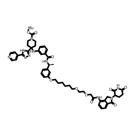 C[C@H](NC(=O)c1cccc(NC2(c3nnc(-c4ccncc4)[nH]3)CCN(C(=O)OC(C)(C)C)CC2)c1)c1cccc(OCCCCCCOCCOCC(=O)Nc2cccc3c2CN(C2CCC(=O)NC2=O)C3=O)c1